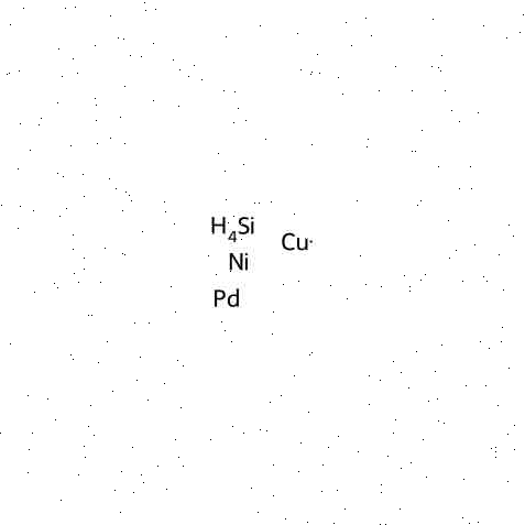 [Cu].[Ni].[Pd].[SiH4]